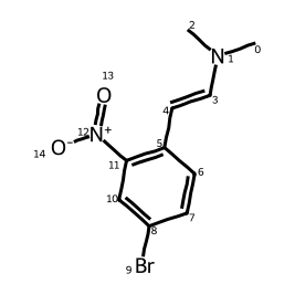 CN(C)/C=C/c1ccc(Br)cc1[N+](=O)[O-]